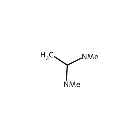 CNC(C)NC